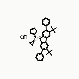 CC(C)(C)c1cc2c(cc1-c1ccccc1)[CH]([Zr+2]([C]1=CC=CC1)=[C]1CC1)c1cc(-c3ccccc3)c(C(C)(C)C)cc1-2.[Cl-].[Cl-]